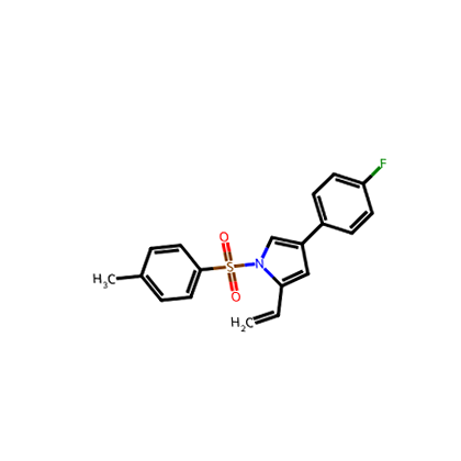 C=Cc1cc(-c2ccc(F)cc2)cn1S(=O)(=O)c1ccc(C)cc1